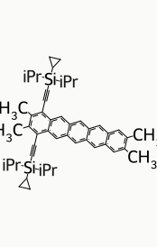 Cc1cc2cc3cc4cc5c(C#C[Si](C(C)C)(C(C)C)C6CC6)c(C)c(C)c(C#C[Si](C(C)C)(C(C)C)C6CC6)c5cc4cc3cc2cc1C